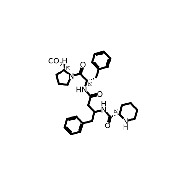 O=C(CC(Cc1ccccc1)NC(=O)[C@@H]1CCCCN1)N[C@@H](Cc1ccccc1)C(=O)N1CCC[C@H]1C(=O)O